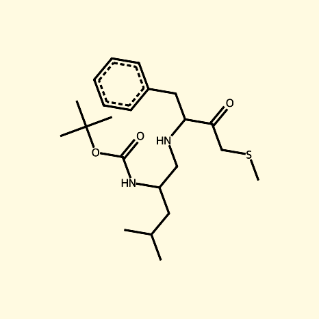 CSCC(=O)C(Cc1ccccc1)NCC(CC(C)C)NC(=O)OC(C)(C)C